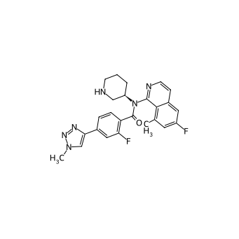 Cc1cc(F)cc2ccnc(N(C(=O)c3ccc(-c4cn(C)nn4)cc3F)[C@@H]3CCCNC3)c12